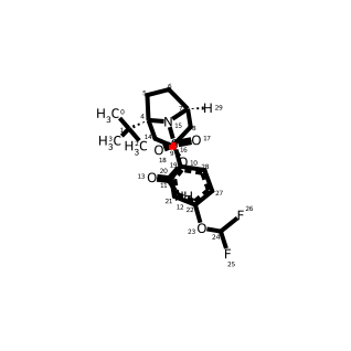 CC(C)(C)[C@@]12CC[C@@H](C[C@@H](OC(N)=O)C1)N2S(=O)(=O)c1ccc(OC(F)F)cc1